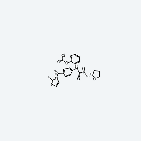 Cc1nccn1[C@@H](C)c1ccc(NC(=O)NC[C@@H]2CCCO2)cc1.O=C(Cl)Oc1ccccc1